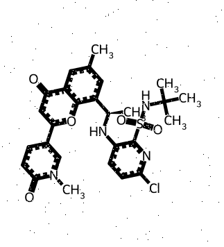 Cc1cc([C@@H](C)Nc2ccc(Cl)nc2S(=O)(=O)NC(C)(C)C)c2oc(-c3ccc(=O)n(C)c3)cc(=O)c2c1